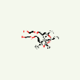 C=C[Si](C)(O[Si](C)(C)CCCOCCO)O[Si](C)(C)O[Si](C)(C)CCCOCCO